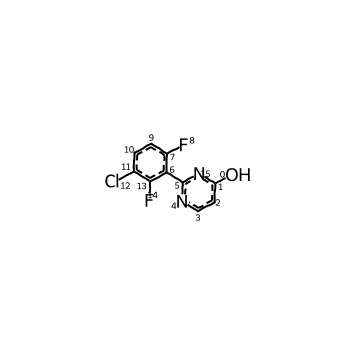 Oc1ccnc(-c2c(F)ccc(Cl)c2F)n1